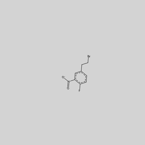 O=[N+]([O-])c1cc(CCBr)ccc1F